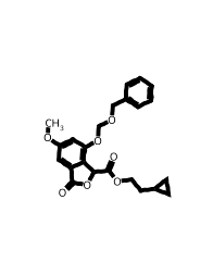 COc1cc(OCOCc2ccccc2)c2c(c1)C(=O)OC2C(=O)OCCC1CC1